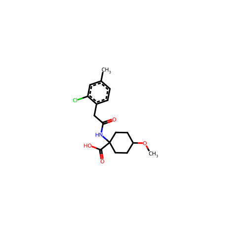 COC1CCC(NC(=O)Cc2ccc(C)cc2Cl)(C(=O)O)CC1